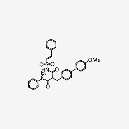 CCN(C(=O)C(Cc1ccc(-c2ccc(OC)cc2)cc1)C(=O)NS(=O)(=O)C=Cc1ccccc1)c1ccccc1